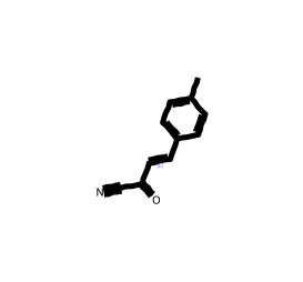 Cc1ccc(/C=C/C(=O)C#N)cc1